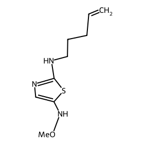 C=CCCCNc1ncc(NOC)s1